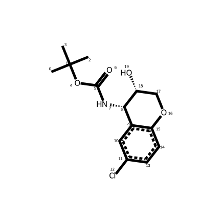 CC(C)(C)OC(=O)N[C@H]1c2cc(Cl)ccc2OC[C@H]1O